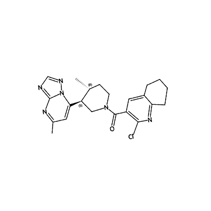 Cc1cc([C@@H]2CN(C(=O)c3cc4c(nc3Cl)CCCC4)CC[C@H]2C)n2ncnc2n1